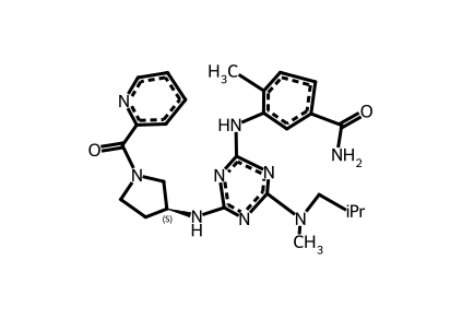 Cc1ccc(C(N)=O)cc1Nc1nc(N[C@H]2CCN(C(=O)c3ccccn3)C2)nc(N(C)CC(C)C)n1